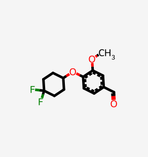 COc1cc(C=O)ccc1OC1CCC(F)(F)CC1